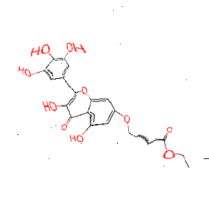 CCOC(=O)CCCOc1cc(O)c2c(=O)c(O)c(-c3cc(O)c(O)c(O)c3)oc2c1